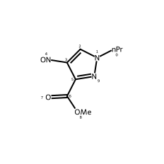 CCCn1cc(N=O)c(C(=O)OC)n1